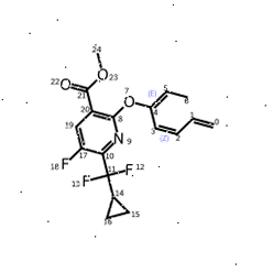 C=C/C=C\C(=C/C)Oc1nc(C(F)(F)C2CC2)c(F)cc1C(=O)OC